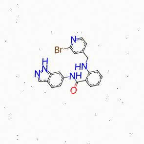 O=C(Nc1ccc2cn[nH]c2c1)c1ccccc1NCc1ccnc(Br)c1